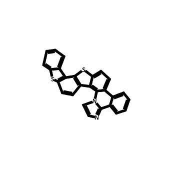 c1ccc2c(c1)sc1ccc3c(sc4ccc5c6ccccc6c6nccn6c5c43)c12